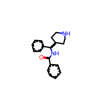 O=C(NC(=C1CCNCC1)c1ccccc1)c1ccccc1